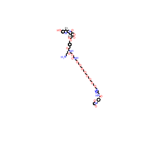 CCc1c2c(nc3ccc(O)cc13)-c1cc3c(c(=O)n1C2)COC(=O)[C@@]3(CC)CC(=O)OCc1ccc(CC(=O)[C@H](CCCCN)NC(=O)COCC(=O)NCCOCCOCCOCCOCCOCCOCCOCCOCCn2cc(CNC(=O)[C@H]3CC[C@H](CN4C(=O)C=CC4=O)CC3)nn2)cc1